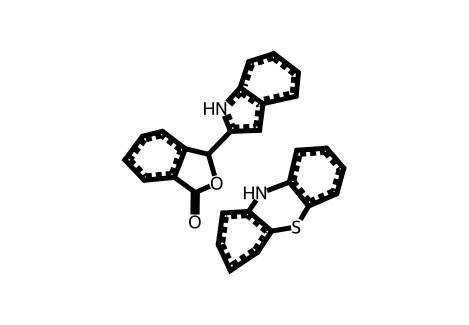 O=C1OC(c2cc3ccccc3[nH]2)c2ccccc21.c1ccc2c(c1)Nc1ccccc1S2